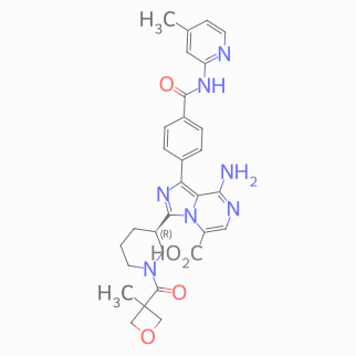 Cc1ccnc(NC(=O)c2ccc(-c3nc([C@@H]4CCCN(C(=O)C5(C)COC5)C4)n4c(C(=O)O)cnc(N)c34)cc2)c1